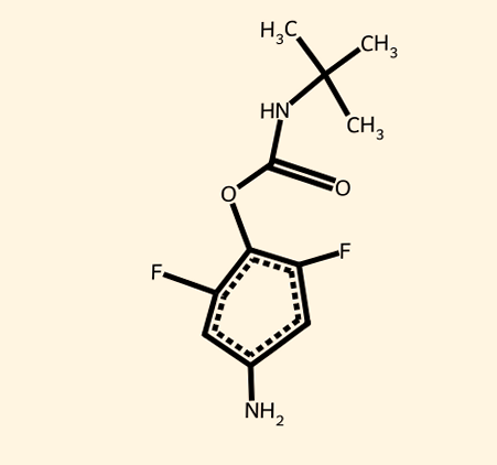 CC(C)(C)NC(=O)Oc1c(F)cc(N)cc1F